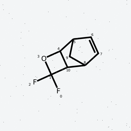 FC1(F)OC2C3C=CC(C3)C21